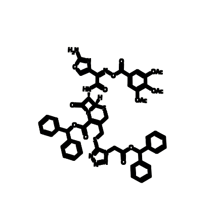 CC(=O)Oc1cc(C(=O)O/N=C(\C(=O)N[C@H]2C(=O)N3C(C(=O)OC(c4ccccc4)c4ccccc4)=C(CSc4nnnn4CC(=O)OC(c4ccccc4)c4ccccc4)CS[C@@H]23)c2coc(N)n2)cc(OC(C)=O)c1OC(C)=O